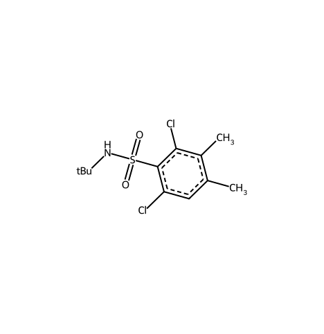 Cc1cc(Cl)c(S(=O)(=O)NC(C)(C)C)c(Cl)c1C